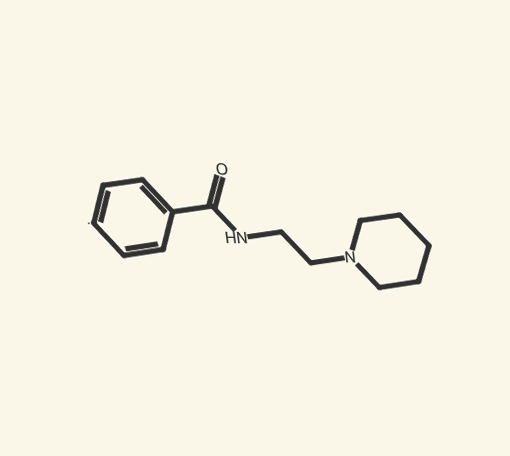 O=C(NCCN1CCCCC1)c1cc[c]cc1